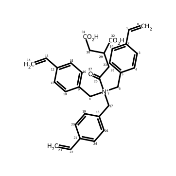 C=Cc1ccc(C[N+](Cc2ccc(C=C)cc2)(Cc2ccc(C=C)cc2)C(=O)CC(CC(=O)O)C(=O)O)cc1